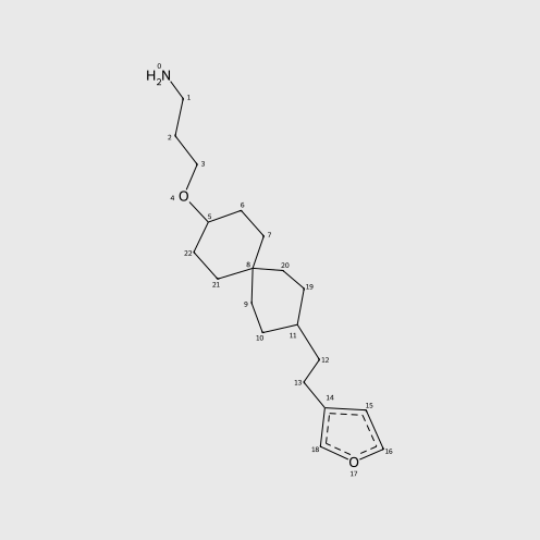 NCCCOC1CCC2(CCC(CCc3ccoc3)CC2)CC1